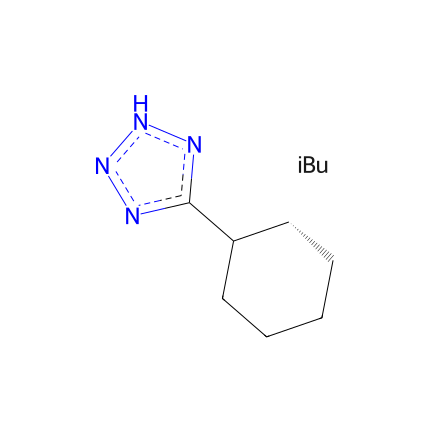 CC[C@H](C)[C@@H]1CCCCC1c1nn[nH]n1